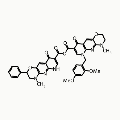 COc1ccc(Cn2cc(C(=O)OC(=O)c3c[nH]c4nc5c(cc4c3=O)OC(c3ccccc3)CN5C)c(=O)c3cc4c(nc32)N(C)CCO4)c(OC)c1